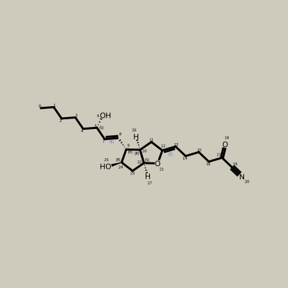 CCCCC[C@H](O)/C=C/[C@@H]1[C@H]2C/C(=C/CCCC(=O)C#N)O[C@H]2C[C@H]1O